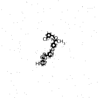 Cc1oc(Cc2cccc(Cl)c2)nc1-c1ccc(OCc2cc(C(=O)OC(=O)[C@H]3CNCCO3)ccn2)cc1